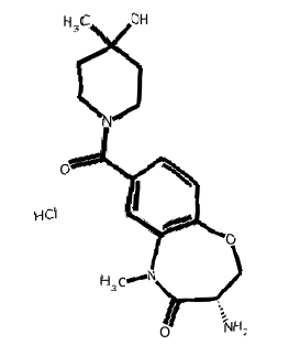 CN1C(=O)[C@@H](N)COc2ccc(C(=O)N3CCC(C)(O)CC3)cc21.Cl